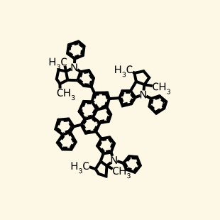 CC1CCC2(C)C1c1cc(-c3cc(-c4ccc5c(c4)C4C(C)CCC4(C)N5c4ccccc4)c4ccc5c(-c6cccc7ccccc67)cc(-c6ccc7c(c6)C6C(C)CCC6(C)N7c6ccccc6)c6ccc3c4c65)ccc1N2c1ccccc1